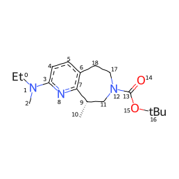 CCN(C)c1ccc2c(n1)[C@@H](C)CN(C(=O)OC(C)(C)C)CC2